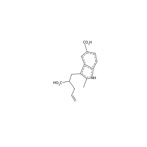 C=CCC(Cc1c(C)[nH]c2ccc(C(=O)O)cc12)C(=O)O